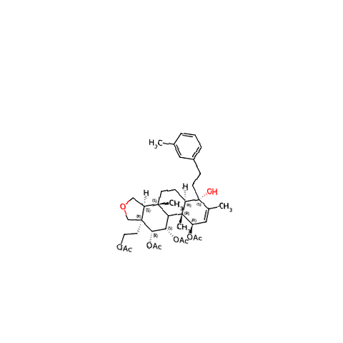 CC(=O)OCC[C@]12COC[C@H]1[C@]1(C)CC[C@@H]3[C@@](C)(C1[C@H](OC(C)=O)[C@@H]2OC(C)=O)[C@H](OC(C)=O)C=C(C)[C@]3(O)CCc1cccc(C)c1